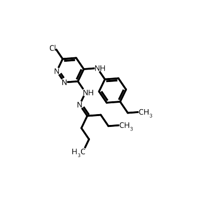 CCCC(CCC)=NNc1nnc(Cl)cc1Nc1ccc(CC)cc1